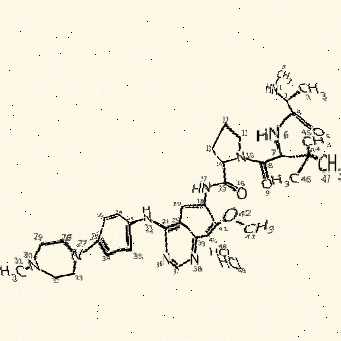 CN[C@@H](C)C(=O)N[C@H](C(=O)N1CCCC1C(=O)Nc1cc2c(Nc3ccc(N4CCN(C)CC4)cc3)ncnc2cc1OC)C(C)(C)C.Cl.Cl